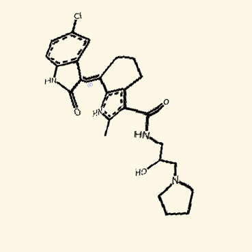 Cc1[nH]c2c(c1C(=O)NCC(O)CN1CCCC1)CCC/C2=C1/C(=O)Nc2ccc(Cl)cc21